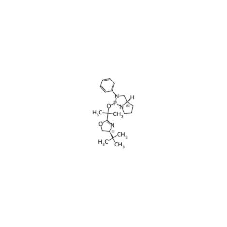 CC(C)(OP1N(c2ccccc2)C[C@@H]2CCCN21)C1=N[C@@H](C(C)(C)C)CO1